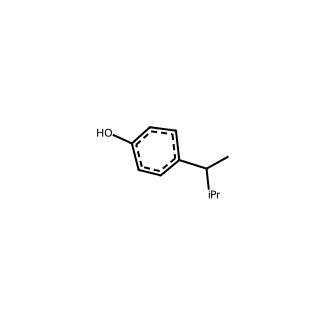 CC(C)C(C)c1ccc(O)cc1